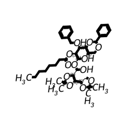 CCCCCCCC(=O)O[C@@H]1[C@H](OC(O)[C@H]2OC(C)(C)O[C@@H]2[C@@H]2COC(C)(C)O2)O[C@@H]2COC(c3ccccc3)O[C@H]2[C@@H]1OCc1ccccc1